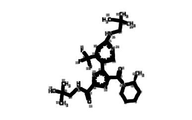 C[C@H]1CCCCN1C(=O)c1nc(C(=O)NCC(C)(C)O)sc1-c1cnc(NCC(C)(C)C)cc1C(F)(F)F